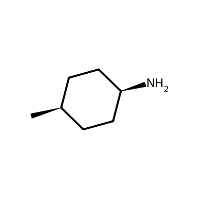 C[C@H]1CC[C@@H](N)CC1